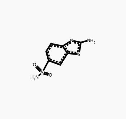 Nc1nc2ccc(S(N)(=O)=O)cc2s1